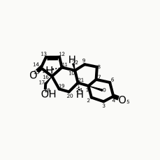 C[C@]12CCC(=O)CC1CC[C@H]1[C@@H]3C=CC(=O)[C@@]3(CO)CC[C@@H]12